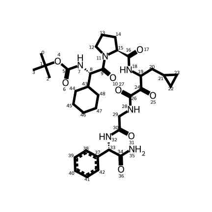 CC(C)(C)OC(=O)N[C@H](C(=O)N1CCC[C@H]1C(=O)NC(CC1CC1)C(=O)C(=O)NCC(=O)N[C@H](C(N)=O)c1ccccc1)C1CCCCC1